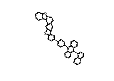 c1ccc2c(-c3c4ccccc4c(-c4ccc(-c5ccc6sc7cc8c(ccc9oc%10ccccc%10c98)cc7c6c5)cc4)c4ccccc34)cccc2c1